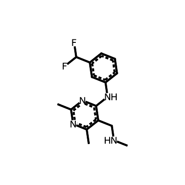 CNCc1c(C)nc(C)nc1Nc1cccc(C(F)F)c1